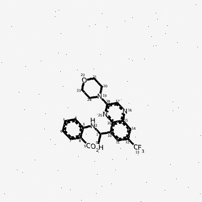 CC(Nc1ccccc1C(=O)O)c1cc(C(F)(F)F)cc2ncc(N3CCOCC3)nc12